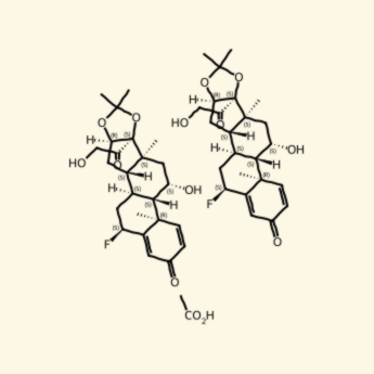 CC(=O)O.CC1(C)O[C@@H]2C[C@H]3[C@@H]4C[C@H](F)C5=CC(=O)C=C[C@]5(C)[C@H]4[C@@H](O)C[C@]3(C)[C@]2(C(=O)CO)O1.CC1(C)O[C@@H]2C[C@H]3[C@@H]4C[C@H](F)C5=CC(=O)C=C[C@]5(C)[C@H]4[C@@H](O)C[C@]3(C)[C@]2(C(=O)CO)O1